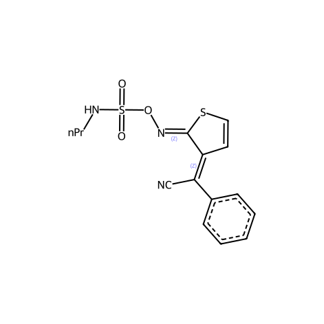 CCCNS(=O)(=O)O/N=C1\SC=C\C1=C(\C#N)c1ccccc1